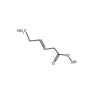 CCCOC(=O)C/C=C/CC(=O)O